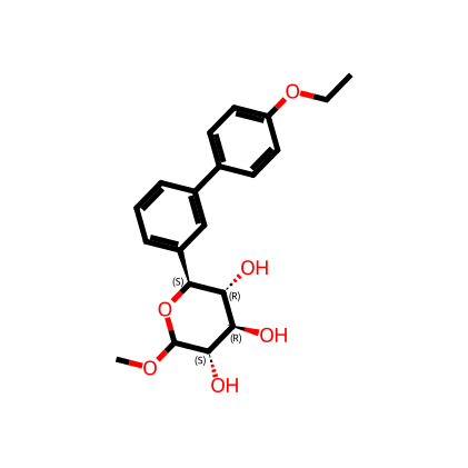 CCOc1ccc(-c2cccc([C@@H]3OC(OC)[C@@H](O)[C@H](O)[C@H]3O)c2)cc1